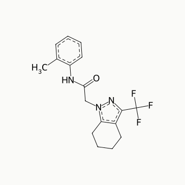 Cc1ccccc1NC(=O)Cn1nc(C(F)(F)F)c2c1CCCC2